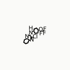 FC(F)(F)Oc1ccc(Nc2nc3ccccc3nc2Cl)cc1